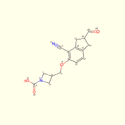 N#Cc1c(OCC2CN(C(=O)O)C2)ccc2c1CC(C=O)C2